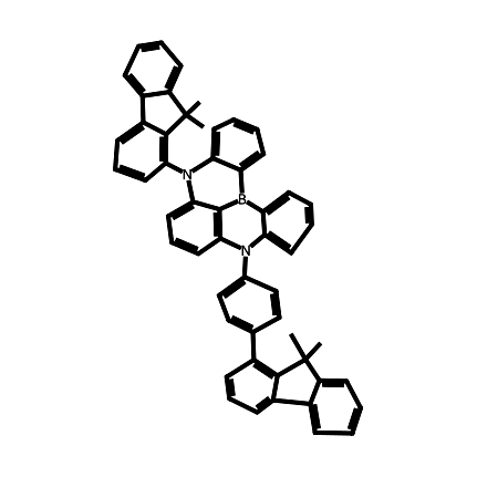 CC1(C)c2ccccc2-c2cccc(-c3ccc(N4c5ccccc5B5c6ccccc6N(c6cccc7c6C(C)(C)c6ccccc6-7)c6cccc4c65)cc3)c21